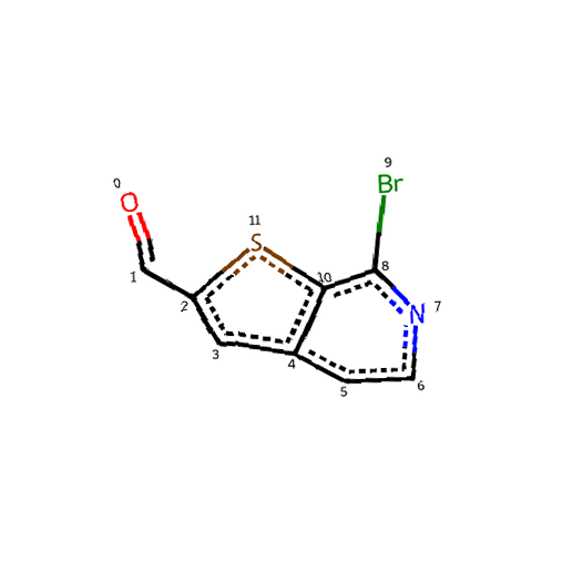 O=Cc1cc2ccnc(Br)c2s1